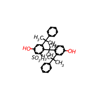 CC(C)(c1ccccc1)c1cc(O)ccc1C(C)(C)c1c(C(C)(C)c2ccccc2)cc(O)cc1S(=O)(=O)O